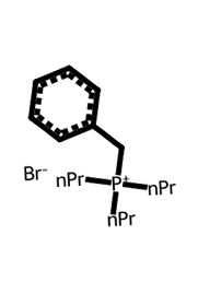 CCC[P+](CCC)(CCC)Cc1ccccc1.[Br-]